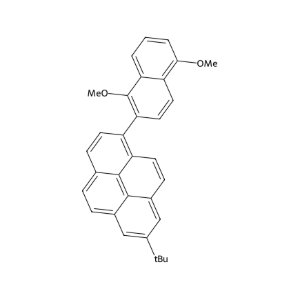 COc1cccc2c(OC)c(-c3ccc4ccc5cc(C(C)(C)C)cc6ccc3c4c56)ccc12